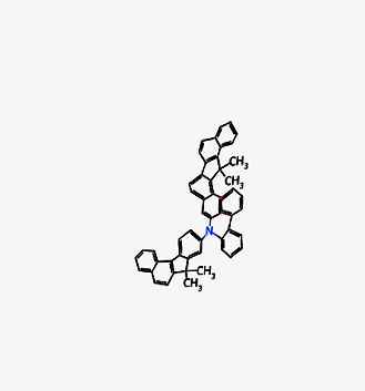 CC1(C)c2cc(N(c3ccc4c5c(ccc4c3)-c3ccc4ccccc4c3C5(C)C)c3ccccc3-c3ccccc3)ccc2-c2c1ccc1ccccc21